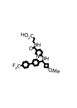 COC1CC(C(Nc2ccc(C(=O)NCCC(=O)O)cn2)c2ccc(-c3ccc(C(F)(F)F)cc3)cc2)C1